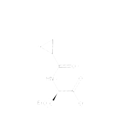 CCOC(=O)[C@@H](NC(=O)C1CC1)C(=O)CC